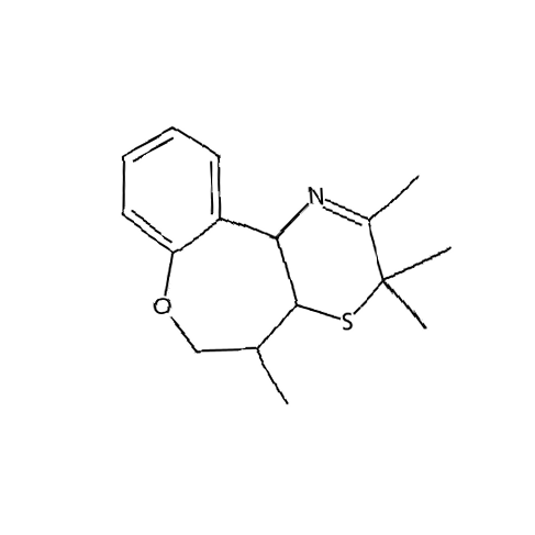 CC1=NC2c3ccccc3OCC(C)C2SC1(C)C